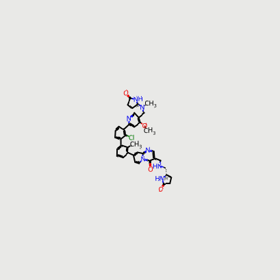 COc1cc(-c2cccc(-c3cccc(-c4ccn5c(=O)c(CNC[C@@H]6CCC(=O)N6)cnc5c4)c3C)c2Cl)ncc1CN(C)[C@H]1CCC(=O)N1